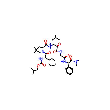 CC(C)COC(=O)N[C@H](C(=O)N1CC(C)(C)C[C@H]1C(=O)N[C@@H](CC(C)C)C(=O)C(=O)NCC(=O)NC(C(=O)N(C)C)c1ccccc1)C1CCCCC1